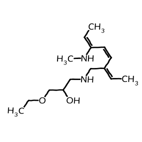 C\C=C(/C=C\C(=C/C)NC)CNCC(O)COCC